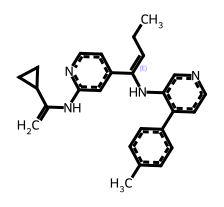 C=C(Nc1cc(/C(=C\CC)Nc2cnccc2-c2ccc(C)cc2)ccn1)C1CC1